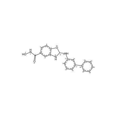 O=C(NO)c1ccc2c(c1)NC(Nc1cccc(-c3ccccc3)c1)O2